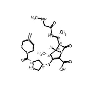 CNCC(=O)N[C@H](C)[C@H]1C(=O)N2C(C(=O)O)=C(S[C@@H]3CN[C@H](C(=O)N4CCNCC4)C3)[C@H](C)[C@H]12